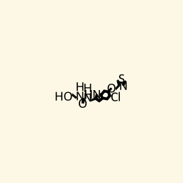 O=C(NCCO)NCc1cc2cc(Cl)c(OCc3cscn3)cc2[nH]1